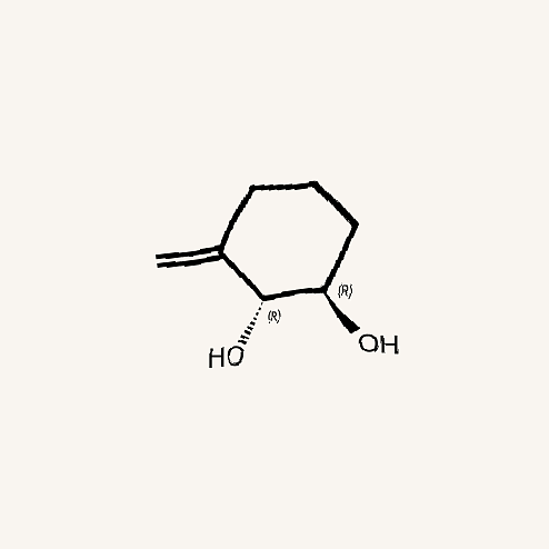 C=C1CCC[C@@H](O)[C@@H]1O